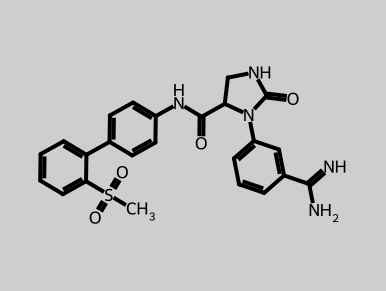 CS(=O)(=O)c1ccccc1-c1ccc(NC(=O)C2CNC(=O)N2c2cccc(C(=N)N)c2)cc1